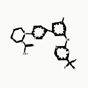 Cc1cc(Nc2nccc(C(F)(F)F)n2)cc(-c2ccc(N3CCCC[C@@H]3C(=O)O)nc2)c1